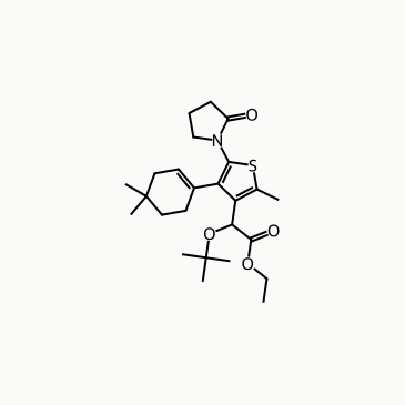 CCOC(=O)C(OC(C)(C)C)c1c(C)sc(N2CCCC2=O)c1C1=CCC(C)(C)CC1